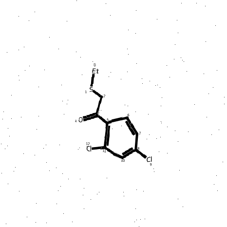 CCSCC(=O)c1ccc(Cl)cc1Cl